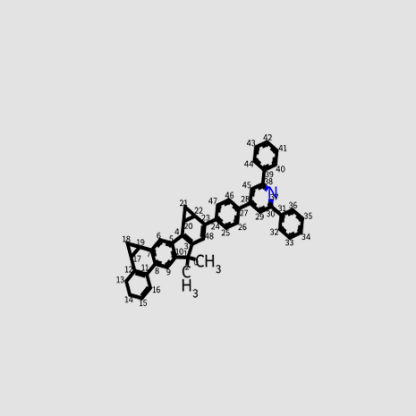 CC1(C)C2=C(c3cc4c(cc31)C1=C(CCC=C1)C1CC41)C1CC1C(c1ccc(-c3cc(-c4ccccc4)nc(-c4ccccc4)c3)cc1)=C2